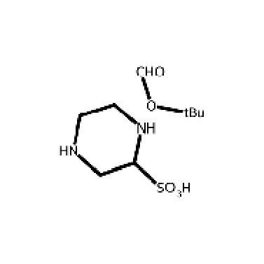 CC(C)(C)OC=O.O=S(=O)(O)C1CNCCN1